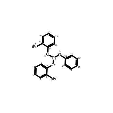 CC(C)c1ccccc1OP(Oc1ccccc1)Oc1ccccc1C(C)C